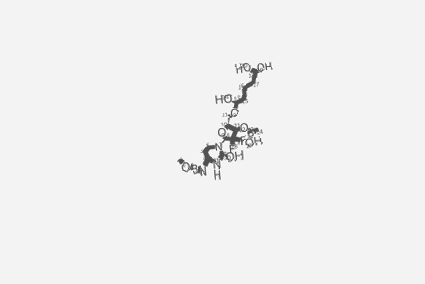 CO/B=N/C1CCN([C@@H]2O[C@H](CO[C@@H](O)CCCC(O)O)C(OB(C)O)C2(F)F)[C@H](O)N1